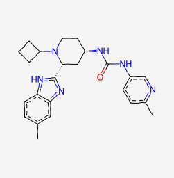 Cc1ccc2[nH]c([C@H]3C[C@H](NC(=O)Nc4ccc(C)nc4)CCN3C3CCC3)nc2c1